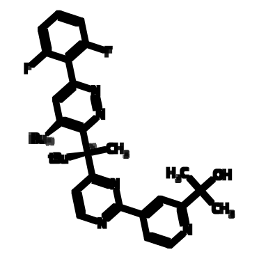 CC[C@H](C)c1cc(-c2c(F)cccc2F)nnc1[C@](C)(c1ccnc(-c2ccnc(C(C)(C)O)c2)n1)C(C)(C)C